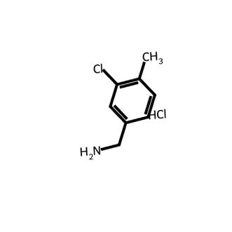 Cc1ccc(CN)cc1Cl.Cl